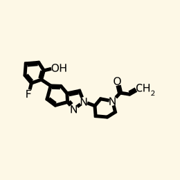 C=CC(=O)N1CCCC(n2cc3cc(-c4c(O)cccc4F)ccc3n2)C1